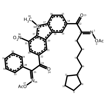 CC(=O)O/N=C(\CCCCC1CCCC1)C(=O)c1ccc2c(c1)c1cc(C(=O)/C(=N/OC(C)=O)c3ccccc3)cc([N+](=O)[O-])c1n2C